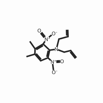 C=CCN(CC=C)c1c([N+](=O)[O-])cc(C)c(C)c1[N+](=O)[O-]